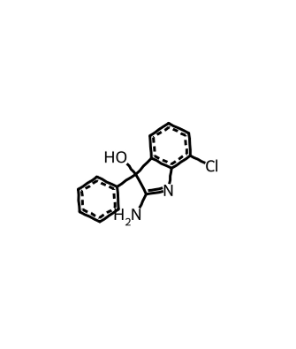 NC1=Nc2c(Cl)cccc2C1(O)c1ccccc1